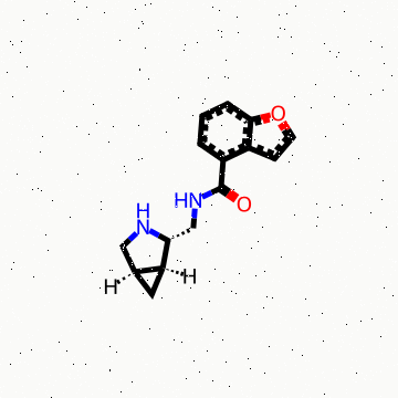 O=C(NC[C@H]1NC[C@@H]2C[C@@H]21)c1cccc2occc12